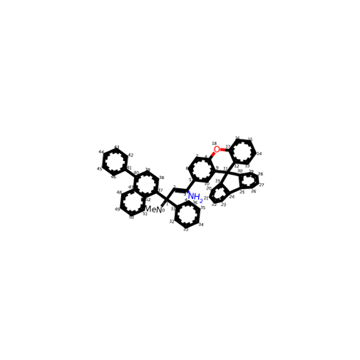 CNC(/C=C(\N)c1ccc2c(c1)C1(c3ccccc3O2)c2ccccc2-c2ccccc21)(c1ccccc1)c1ccc(-c2ccccc2)c2ccccc12